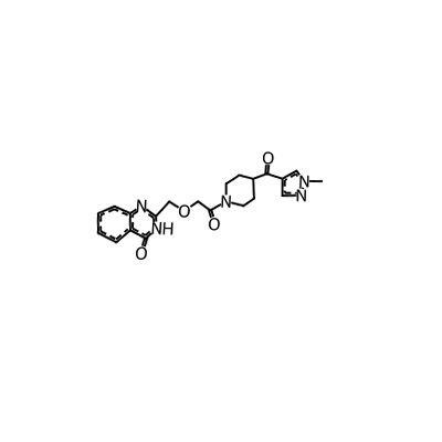 Cn1cc(C(=O)C2CCN(C(=O)COCc3nc4ccccc4c(=O)[nH]3)CC2)cn1